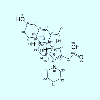 CCC1C=C2CC(O)CC[C@]2(C)[C@@H]2CC[C@]3(C)C(N4CCCCC4)=C(CC(=O)O)C[C@H]3[C@H]12